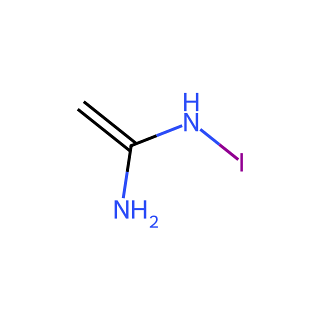 C=C(N)NI